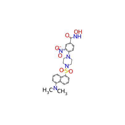 CN(C)c1cccc2c(S(=O)(=O)N3CCN(c4ccc(C(=O)NO)cc4[N+](=O)[O-])CC3)cccc12